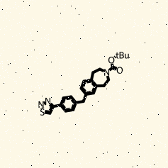 CC(C)(C)OC(=O)N1CCc2ccc(Cc3ccc(-c4csnn4)cc3)cc2CC1